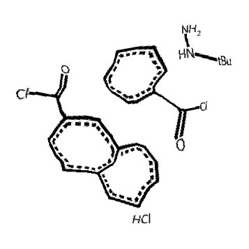 CC(C)(C)NN.Cl.O=C(Cl)c1ccc2ccccc2c1.O=C(Cl)c1ccccc1